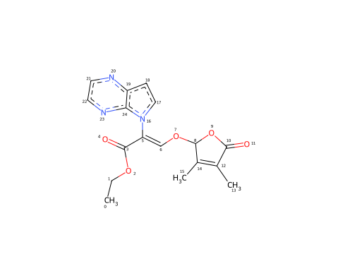 CCOC(=O)/C(=C/OC1OC(=O)C(C)=C1C)n1ccc2nccnc21